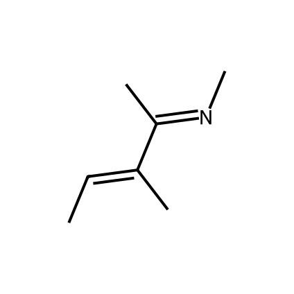 C/C=C(C)/C(C)=N/C